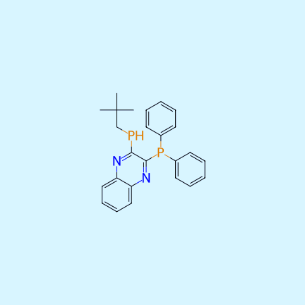 CC(C)(C)CPc1nc2ccccc2nc1P(c1ccccc1)c1ccccc1